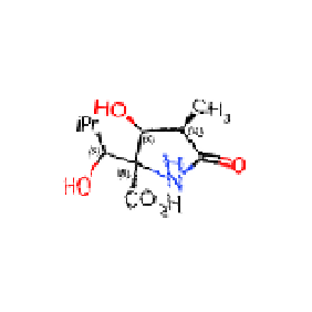 CC(C)[C@H](O)[C@@]1(C(=O)O)NC(=O)[C@H](C)[C@@H]1O